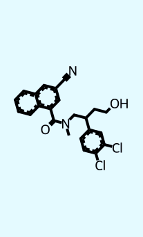 CN(CC(CCO)c1ccc(Cl)c(Cl)c1)C(=O)c1cc(C#N)cc2ccccc12